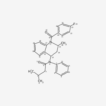 CC(C)CC(=O)N(c1ccccc1)C1CC(C)N(C(=O)c2ccc(F)cc2)c2ccccc21